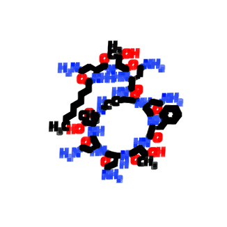 CCCCCCCC(=O)N[C@@H](CCN)C(=O)N[C@H](C(=O)N[C@H](CCN)C(=O)N[C@H]1CCNC(=O)[C@H]([C@@H](C)O)NC(=O)[C@H](CCN)NC(=O)[C@H](CCN)NC(=O)[C@H]([C@@H](C)O)NC(=O)[C@@H](Cc2ccccc2)NC(=O)[C@H](CCN)NC1=O)[C@@H](C)O